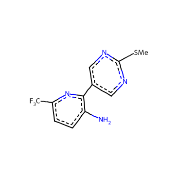 CSc1ncc(-c2nc(C(F)(F)F)ccc2N)cn1